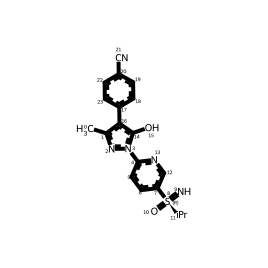 Cc1nn(-c2ccc([S@](=N)(=O)C(C)C)cn2)c(O)c1-c1ccc(C#N)cc1